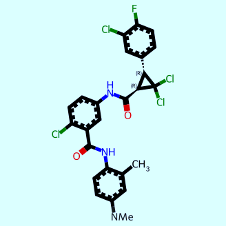 CNc1ccc(NC(=O)c2cc(NC(=O)[C@H]3[C@H](c4ccc(F)c(Cl)c4)C3(Cl)Cl)ccc2Cl)c(C)c1